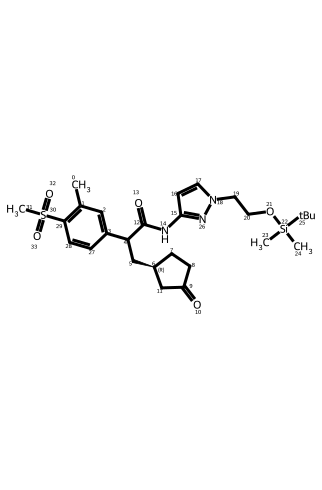 Cc1cc(C(C[C@H]2CCC(=O)C2)C(=O)Nc2ccn(CCO[Si](C)(C)C(C)(C)C)n2)ccc1S(C)(=O)=O